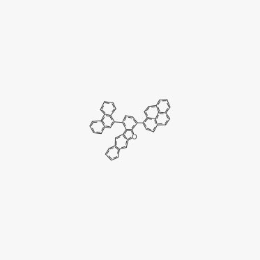 c1ccc2cc3c(cc2c1)oc1c(-c2ccc4ccc5cccc6ccc2c4c56)ccc(-c2cc4ccccc4c4ccccc24)c13